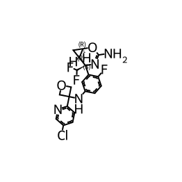 NC1=N[C@@](c2cc(NC3(c4ccc(Cl)cn4)COC3)ccc2F)(C(F)F)[C@H]2C[C@H]2O1